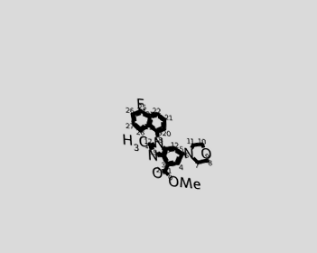 COC(=O)c1cc(N2CCOCC2)cc2c1nc(C)n2-c1cccc2c(F)cccc12